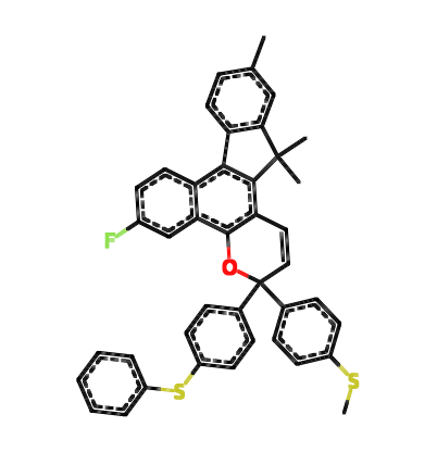 CSc1ccc(C2(c3ccc(Sc4ccccc4)cc3)C=Cc3c4c(c5ccc(F)cc5c3O2)-c2ccc(C)cc2C4(C)C)cc1